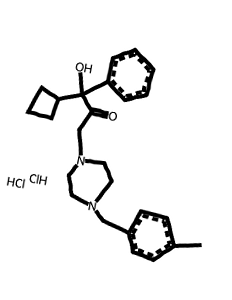 Cc1ccc(CN2CCN(CC(=O)C(O)(c3ccccc3)C3CCC3)CC2)cc1.Cl.Cl